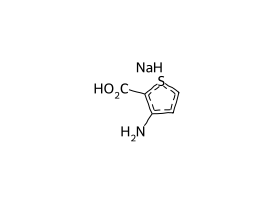 Nc1ccsc1C(=O)O.[NaH]